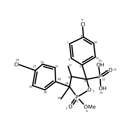 COP1(=O)OC(c2ccc(Cl)cc2)(P(=O)(O)O)C(C)C1(C)c1ccc(Cl)cc1